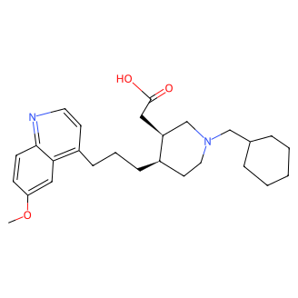 COc1ccc2nccc(CCC[C@@H]3CCN(CC4CCCCC4)C[C@@H]3CC(=O)O)c2c1